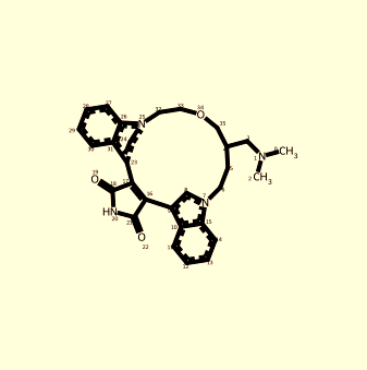 CN(C)CC1CCn2cc(c3ccccc32)C2=C(C(=O)NC2=O)c2cn(c3ccccc23)CCOC1